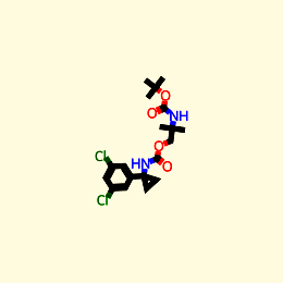 CC(C)(COC(=O)NC1(c2cc(Cl)cc(Cl)c2)CC1)NC(=O)OC(C)(C)C